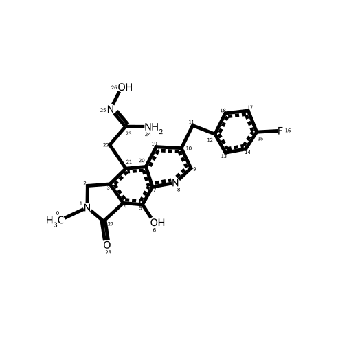 CN1Cc2c(c(O)c3ncc(Cc4ccc(F)cc4)cc3c2C/C(N)=N/O)C1=O